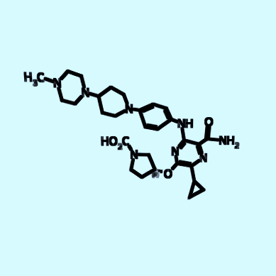 CN1CCN(C2CCN(c3ccc(Nc4nc(O[C@@H]5CCN(C(=O)O)C5)c(C5CC5)nc4C(N)=O)cc3)CC2)CC1